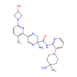 CC1(N)CCN(c2cccnc2NC(=O)C2(N)CN=C(c3nc(N4CC(O)C4)ccc3C(F)(F)F)C=N2)CC1